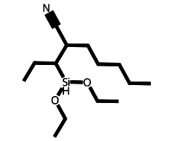 CCCCCC(C#N)C(CC)[SiH](OCC)OCC